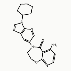 Nc1ncnc2c1C(=O)N(c1cnc3c(ccn3C3CCCCC3)c1)CCO2